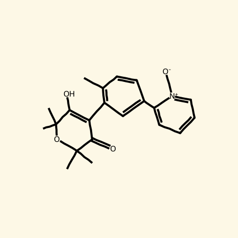 Cc1ccc(-c2cccc[n+]2[O-])cc1C1=C(O)C(C)(C)OC(C)(C)C1=O